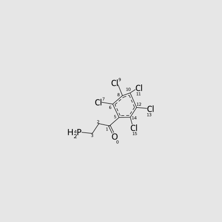 O=C(CCP)c1c(Cl)c(Cl)c(Cl)c(Cl)c1Cl